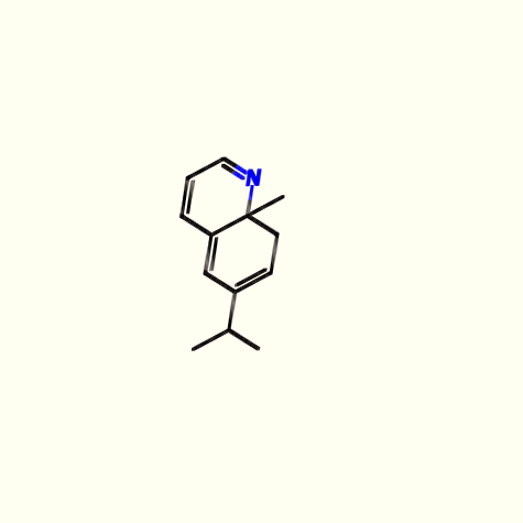 CC(C)C1=CCC2(C)N=CC=CC2=C1